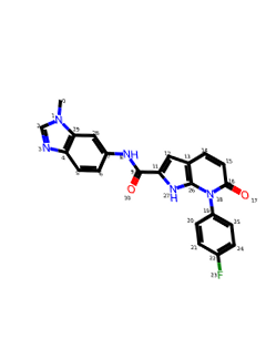 Cn1cnc2ccc(NC(=O)c3cc4ccc(=O)n(-c5ccc(F)cc5)c4[nH]3)cc21